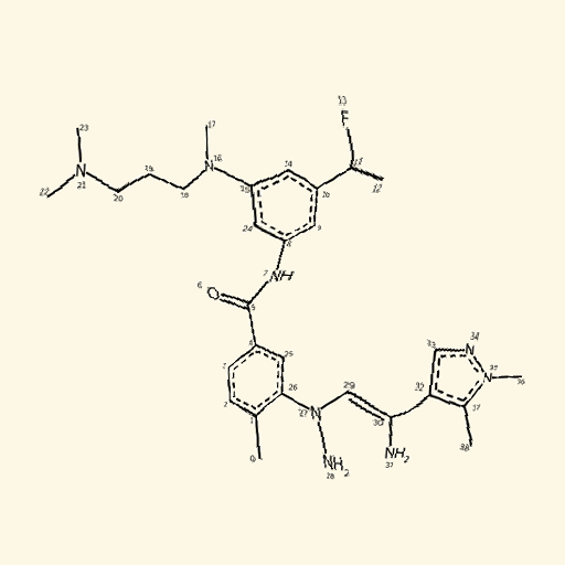 Cc1ccc(C(=O)Nc2cc(C(C)F)cc(N(C)CCCN(C)C)c2)cc1N(N)/C=C(\N)c1cnn(C)c1C